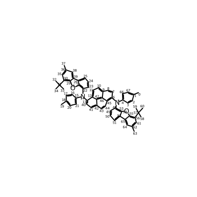 Cc1ccc(N(c2ccc3ccc4c(N(c5ccc(C)cc5)c5cccc6c5oc5c(C(C)(C)C)cc(C)cc56)ccc5ccc2c3c54)c2cccc3c2oc2c(C(C)(C)C)cc(C)cc23)cc1